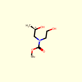 C[C@@H](O)CN(CCO)C(=O)OC(C)(C)C